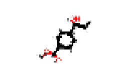 CC=C(O)c1ccc(C(=O)OC)cc1